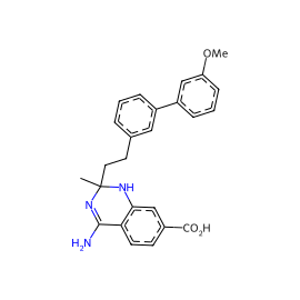 COc1cccc(-c2cccc(CCC3(C)N=C(N)c4ccc(C(=O)O)cc4N3)c2)c1